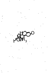 C[C@]12CCC3=C4CCC(=O)C=C4CC[C@H]3[C@@H]1CC[C@@]2(O)C=CI